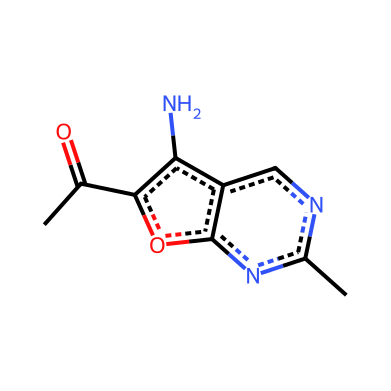 CC(=O)c1oc2nc(C)ncc2c1N